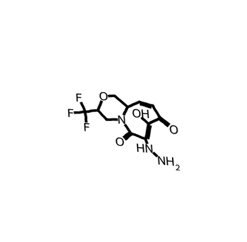 NN/C1=C(/O)C(=O)/C=C\C2COC(C(F)(F)F)CN2C1=O